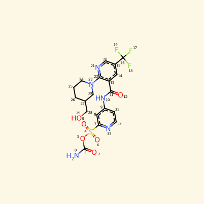 NC(=O)OS(=O)(=O)c1cc(NC(=O)c2cc(C(F)(F)F)cnc2N2CCCC(CO)C2)ccn1